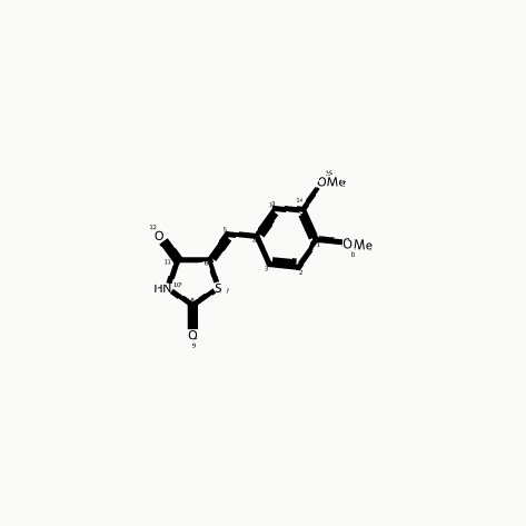 COc1ccc(/C=C2\SC(=O)NC2=O)cc1OC